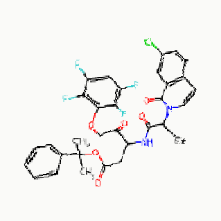 CCC(C(=O)NC(CC(=O)OC(C)(C)c1ccccc1)C(=O)COc1c(F)c(F)cc(F)c1F)n1ccc2ccc(Cl)cc2c1=O